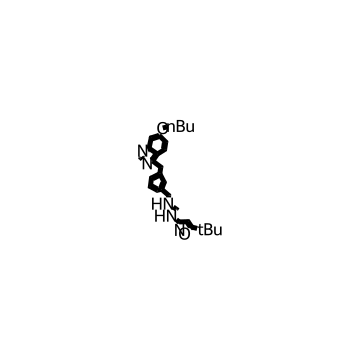 CCCCOc1ccc2c(Cc3cccc(CNCNc4cc(C(C)(C)C)on4)c3)ncnc2c1